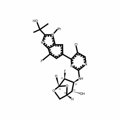 CC(C)n1c(C(C)(C)O)nc2c(F)cc(-c3nc(N[C@H]4[C@H](O)[C@@H]5CO[C@@H](O5)[C@H]4F)ncc3Cl)cc21